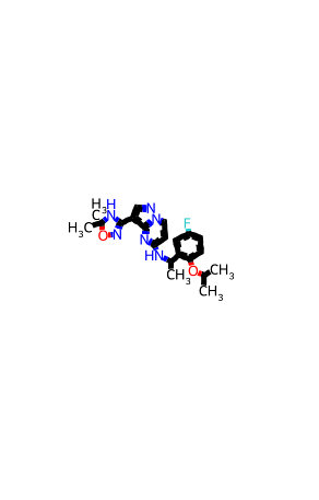 CC(C)Oc1ccc(F)cc1C(C)Nc1ccn2ncc(C3=NOC(C)(C)N3)c2n1